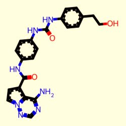 Nc1ncnn2ccc(C(=O)Nc3ccc(NC(=O)Nc4ccc(CCO)cc4)cc3)c12